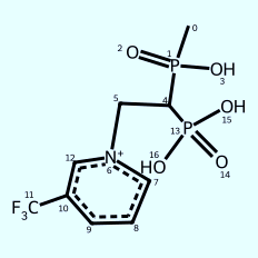 CP(=O)(O)C(C[n+]1cccc(C(F)(F)F)c1)P(=O)(O)O